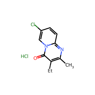 CCc1c(C)nc2ccc(Cl)cn2c1=O.Cl